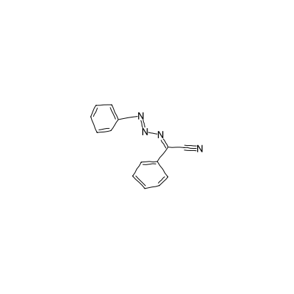 N#C/C(=N/N=N/c1ccccc1)c1ccccc1